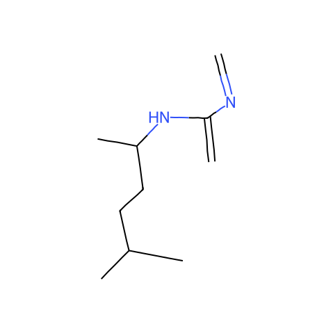 C=NC(=C)NC(C)CCC(C)C